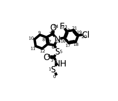 CSNC(=O)SC1C2=C(CCCC2)C(=O)N1c1ccc(Cl)cc1F